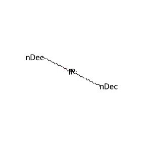 CCCCCCCCCCCCCCCCCCCCCCCCCCC[P][P]CCCCCCCCCCCCCCCCCCCCCCCCCCC